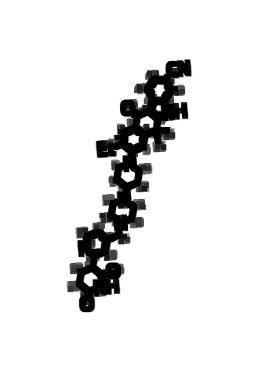 CCc1cc2c(cc1N1CCC(N3CCN(Cc4ccnc(C5CCC(=O)NC5=O)c4)CC3)CC1)C(C)(C)c1[nH]c3cc(C#N)ccc3c1C2=O